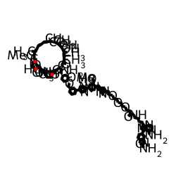 CO[C@H]1C[C@@H]2CC[C@@H](C)[C@@](O)(O2)C(=O)C(=O)N2CCCC[C@H]2C(=O)O[C@H]([C@H](N)C[C@@H]2CC[C@@H](OCc3cccc(-c4cnc(N5CCN(Cc6cn(CCOCCOCCOCCC(=O)NCCCCn7nc(-c8ccc9oc(N)nc9c8)c8c(N)ncnc87)nn6)C(CO)C5)nc4)c3)[C@H](OC)C2)CC(=O)[C@H](C)/C=C(\C)[C@@H](O)[C@@H](O)C(=O)[C@H](C)C[C@H](C)/C=C/C=C/C=C/1C